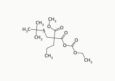 CCCC(CSC(C)(C)C)(C(=O)OC)C(=O)OC(=O)OCC